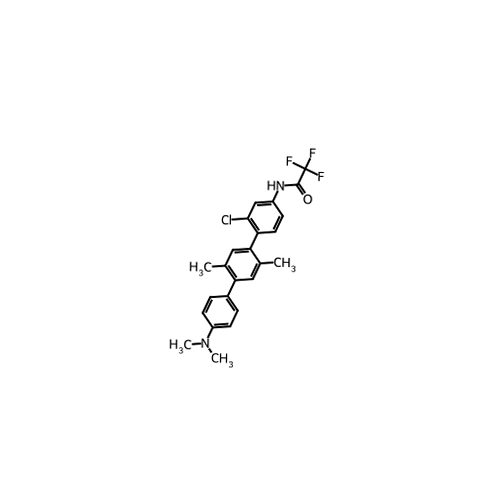 Cc1cc(-c2ccc(NC(=O)C(F)(F)F)cc2Cl)c(C)cc1-c1ccc(N(C)C)cc1